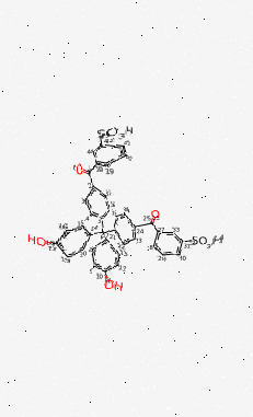 O=C(c1ccc(C(c2ccc(O)cc2)(c2ccc(O)cc2)c2ccc(C(=O)c3cccc(S(=O)(=O)O)c3)cc2)cc1)c1cccc(S(=O)(=O)O)c1